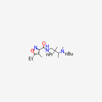 CCCCN(C)C(C)C(C)(CCC)CNC(=O)c1noc(CC)c1C